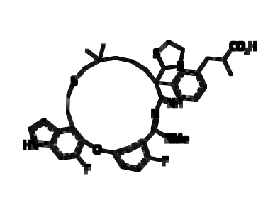 CN/C1=N\C(=N)C(c2cccc(CC(C)C(=O)O)c2)(C2SCCS2)CCCC(C)(C)CSCCc2c(c(F)cc3[nH]ccc23)Oc2ccc(F)c1c2